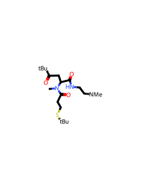 CNCCNC(=O)C(CC(=O)C(C)(C)C)N(C)C(=O)CCSC(C)(C)C